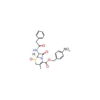 CC1=C(C(=O)OCc2ccc([N+](=O)[O-])cc2)N2C(=O)C(NC(=O)Cc3ccccc3)[C@@H]2[S+]([O-])C1